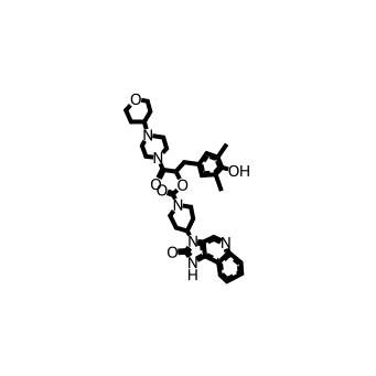 Cc1cc(CC(OC(=O)N2CCC(n3c(=O)[nH]c4c5ccccc5ncc43)CC2)C(=O)N2CCN(C3CCOCC3)CC2)cc(C)c1O